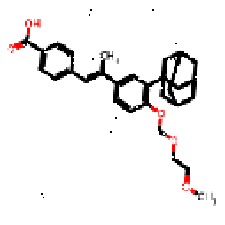 COCCOCOc1ccc(C(C)=Cc2ccc(C(=O)O)cc2)cc1C12CC3CC(CC(C3)C1)C2